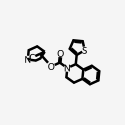 O=C(OC1CN2CCC1CC2)N1CCc2ccccc2C1c1cccs1